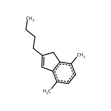 CCCCC1=Cc2c(C)ccc(C)c2[CH]1